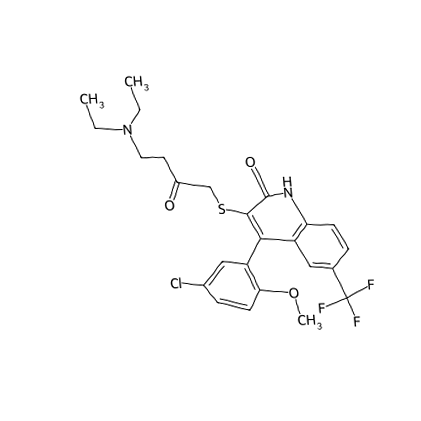 CCN(CC)CCC(=O)CSc1c(-c2cc(Cl)ccc2OC)c2cc(C(F)(F)F)ccc2[nH]c1=O